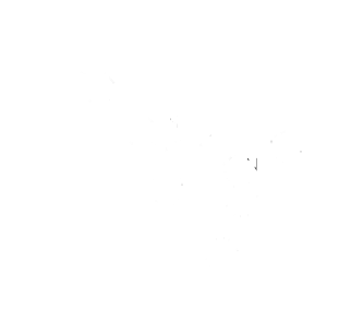 c1ccc(-c2ccc3c(c2)c2cc(-c4sc5cc(-c6ccc7ccccc7c6)ccc5c4-c4ccccc4)ccc2n3-c2ccccc2)cc1